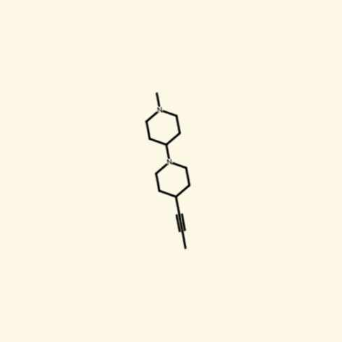 CC#CC1CCN(C2CCN(C)CC2)CC1